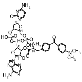 CN(C)c1ccc(C(=O)c2ccc(C[C@H](N)C(=O)OC3C(O)[C@H](n4cnc5c(N)ncnc54)O[C@@H]3COP(=O)(O)OC3C[C@H](n4ccc(N)nc4=O)O[C@@H]3COP(=O)(O)O)cc2)cc1